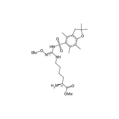 COC(=O)[C@@H](N)CCCCN/C(=N/OC(C)(C)C)NS(=O)(=O)c1c(C)c(C)c2c(c1C)CC(C)(C)O2